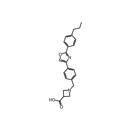 CCCc1ccc(-c2nc(-c3ccc(CN4CC(C(=O)O)C4)cc3)no2)cc1